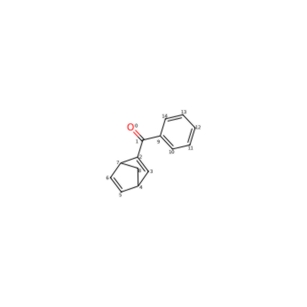 O=C(C1=CC2C=CC1C2)c1ccccc1